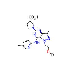 CCOCCn1nc(C)c2nc(N3CC[C@H](C(=O)O)C3)nc(Nc3ccc(C)cn3)c21